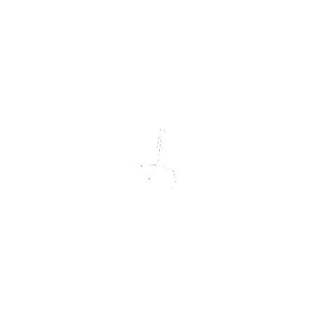 N#CC1(C[O])CC1